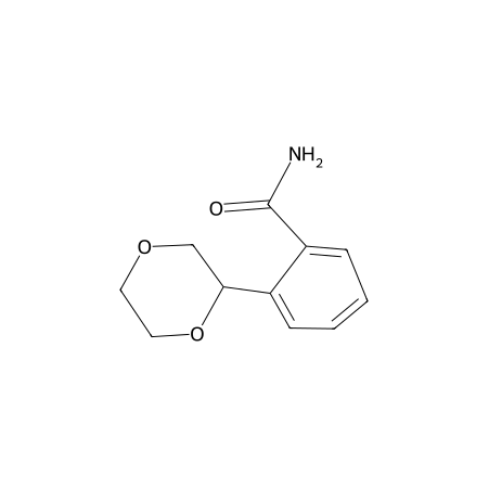 NC(=O)c1ccccc1C1COCCO1